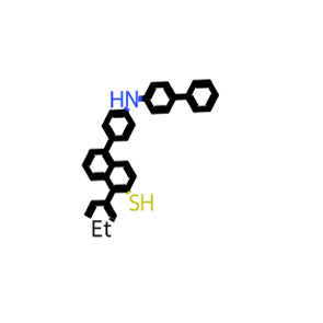 C=C/C(=C\CC)c1c(S)ccc2c(-c3ccc(Nc4ccc(-c5ccccc5)cc4)cc3)cccc12